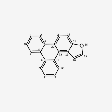 c1ccc2c(c1)c1ccccc1c1c3ccoc3ccc21